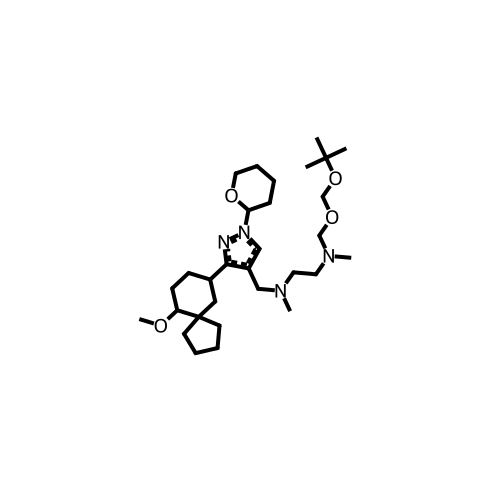 COC1CCC(c2nn(C3CCCCO3)cc2CN(C)CCN(C)COCOC(C)(C)C)CC12CCCC2